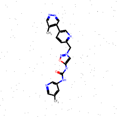 Cc1cnncc1-c1ccc(C[n+]2cc([N-]C(=O)Nc3cncc(C(F)(F)F)c3)on2)nc1